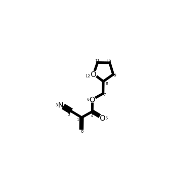 C=C(C#N)C(=O)OCC1CCCO1